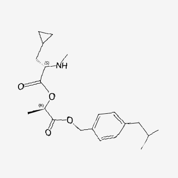 CN[C@@H](CC1CC1)C(=O)O[C@H](C)C(=O)OCc1ccc(CC(C)C)cc1